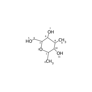 CC1OC(CO)C(O)C(C)C1O